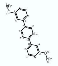 CCCOc1cccc(-c2cnc(-c3cccc(OCCC)c3)nc2)c1